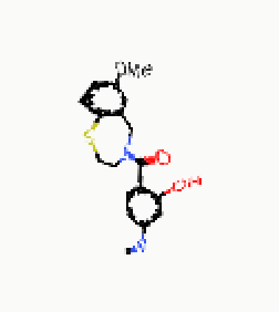 C=Nc1ccc(C(=O)N2CCSc3ccc(OC)cc3C2)c(O)c1